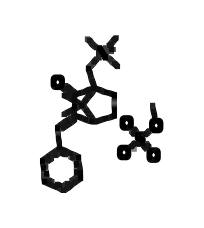 CC1(C)C2CCC1(C[N+](C)(C)C)C(=O)C2=Cc1ccccc1.COS(=O)(=O)[O-]